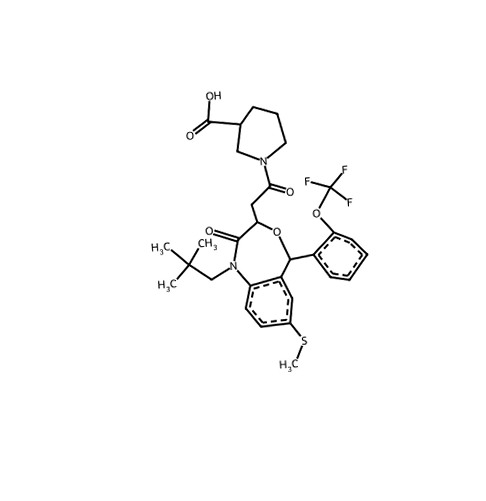 CSc1ccc2c(c1)C(c1ccccc1OC(F)(F)F)OC(CC(=O)N1CCCC(C(=O)O)C1)C(=O)N2CC(C)(C)C